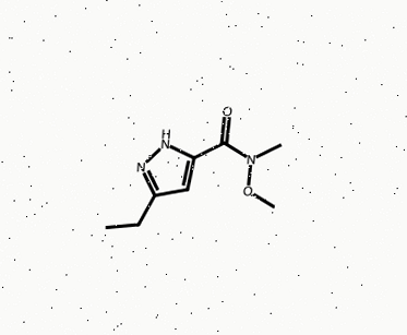 CCc1cc(C(=O)N(C)OC)[nH]n1